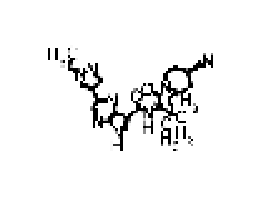 CCn1cc(-c2cnc3[nH]cc(C(=O)N[C@@H](C(=O)N4CCC(C#N)CC4)C(C)(C)C)c3n2)cn1